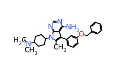 Cc1c(-c2cccc(OCc3ccccc3)c2)c2c(N)ncnc2n1C1CCC(N(C)C)CC1